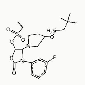 CCS(=O)(=O)OC1OC(=O)N(c2cccc(F)c2)C1N1CCC(O[SiH2]CC(C)(C)C)C1